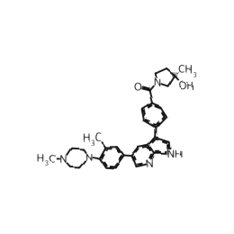 Cc1cc(-c2cnc3[nH]cc(-c4ccc(C(=O)N5CC[C@@](C)(O)C5)cc4)c3c2)ccc1N1CCN(C)CC1